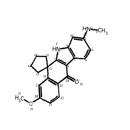 CNc1ccc2c3c([nH]c2c1)C1(CCCC1)c1cc(OC)ccc1C3=O